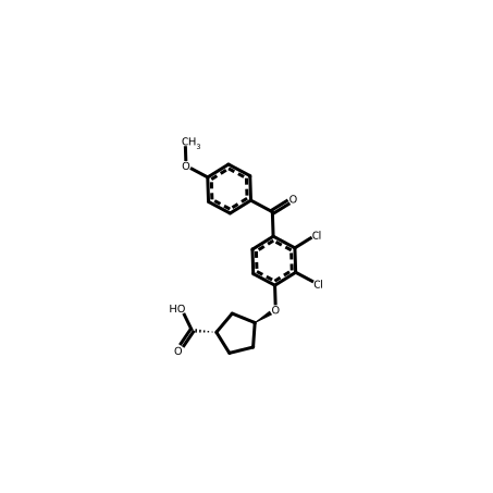 COc1ccc(C(=O)c2ccc(O[C@H]3CC[C@H](C(=O)O)C3)c(Cl)c2Cl)cc1